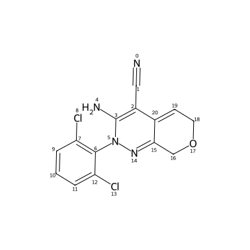 N#CC1=C(N)N(c2c(Cl)cccc2Cl)N=C2COCC=C21